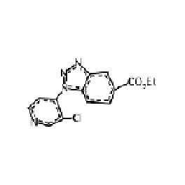 CCOC(=O)c1ccc2c(c1)nnn2-c1ccncc1Cl